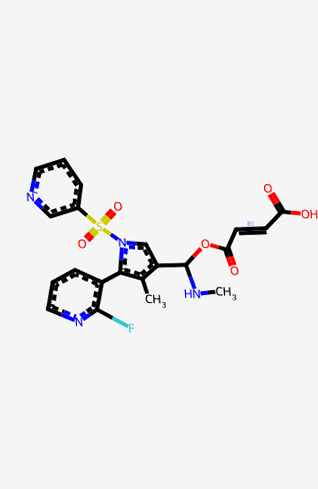 CNC(OC(=O)/C=C/C(=O)O)c1cn(S(=O)(=O)c2cccnc2)c(-c2cccnc2F)c1C